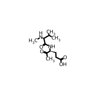 CN[C@H](C(=O)N[C@@H](CCC(=O)O)C(C)=O)C(C)C